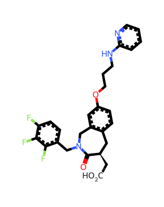 O=C(O)C[C@@H]1Cc2ccc(OCCCNc3ccccn3)cc2CN(Cc2ccc(F)c(F)c2F)C1=O